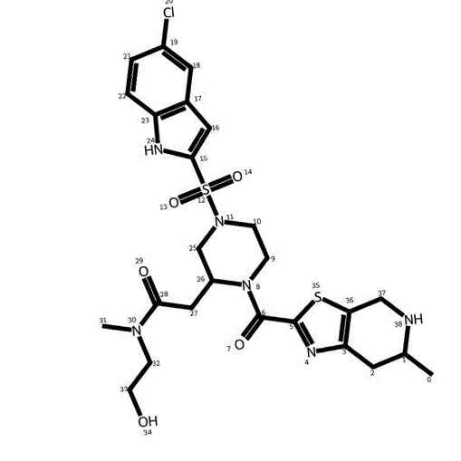 CC1Cc2nc(C(=O)N3CCN(S(=O)(=O)c4cc5cc(Cl)ccc5[nH]4)CC3CC(=O)N(C)CCO)sc2CN1